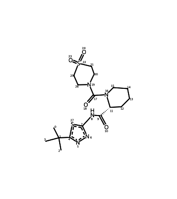 CC(C)(C)c1nnc(NC(=O)[C@H]2CCCCN2C(=O)N2CCS(=O)(=O)CC2)s1